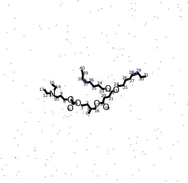 [CH2]C(CCOC(=O)OCCCN(CC)CC)COC(=O)CCC(OCCCC/C=C\CC)OCCCC/C=C\CC